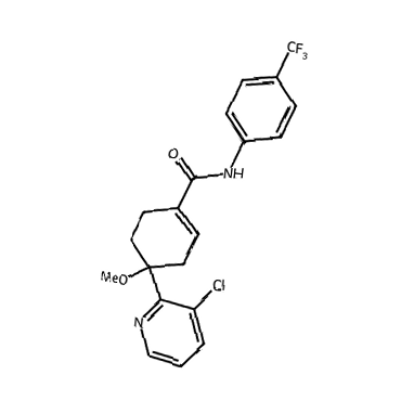 COC1(c2ncccc2Cl)CC=C(C(=O)Nc2ccc(C(F)(F)F)cc2)CC1